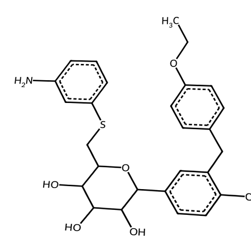 CCOc1ccc(Cc2cc(C3OC(CSc4cccc(N)c4)C(O)C(O)C3O)ccc2Cl)cc1